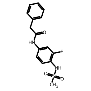 CS(=O)(=O)Nc1ccc(NC(=O)Cc2ccccc2)cc1F